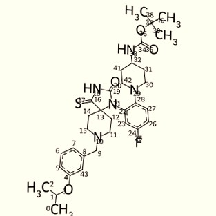 CC(C)Oc1cccc(CN2CCC3(CC2)C(=S)NC(=O)N3c2cc(F)ccc2N2CCC(NC(=O)OC(C)(C)C)CC2)c1